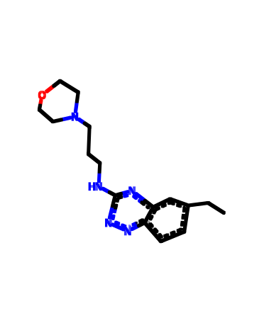 CCc1ccc2nnc(NCCCN3CCOCC3)nc2c1